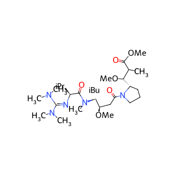 CC[C@H](C)[C@@H]([C@@H](CC(=O)N1CCC[C@H]1C(OC)C(C)C(=O)OC)OC)N(C)C(=O)[C@@H](N=C(N(C)C)N(C)C)C(C)C